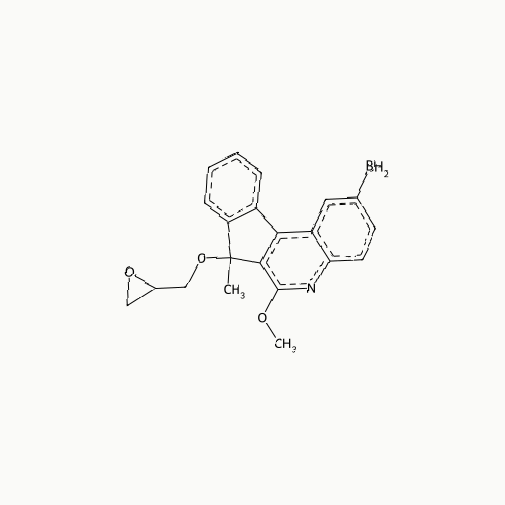 Bc1ccc2nc(OC)c3c(c2c1)-c1ccccc1C3(C)OCC1CO1